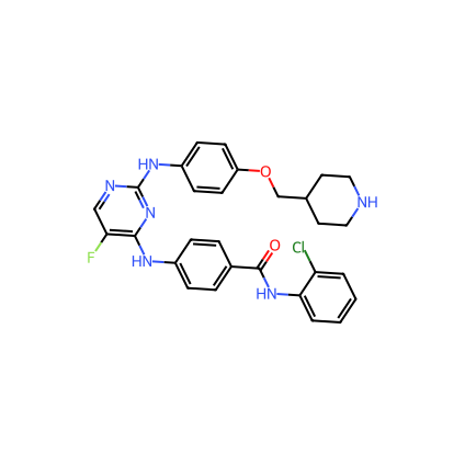 O=C(Nc1ccccc1Cl)c1ccc(Nc2nc(Nc3ccc(OCC4CCNCC4)cc3)ncc2F)cc1